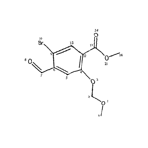 COCOc1cc(C=O)c(Br)cc1C(=O)OC